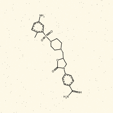 Cc1ccc(N)cc1S(=O)(=O)N1CCN(CC2CN(c3ccc(C(=N)N)cc3)C(=O)O2)CC1